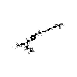 CC(C)C(=O)NC(C(=O)N[C@H](CCCNC(N)=O)C(=O)Nc1ccc(COC(=O)NCCOCCOCCNC(=O)C(C)(C)C)cc1)C(C)C